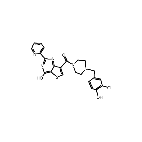 O=C(c1csc2c(O)nc(-c3ccccn3)nc12)N1CCN(Cc2ccc(O)c(Cl)c2)CC1